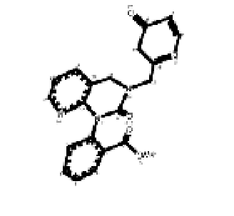 COC(=O)c1ccccc1N1C(=O)N(CC2=NC=CC(=O)C2)Cc2cccnc21